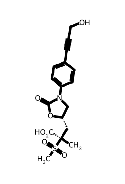 C[C@@](C[C@H]1CN(c2ccc(C#CCO)cc2)C(=O)O1)(C(=O)O)S(C)(=O)=O